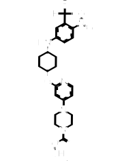 COC(=O)N1CCN(c2ccnc(O[C@H]3CC[C@H](Nc4ccc([N+](=O)[O-])c(C(F)(F)F)c4)CC3)c2)CC1